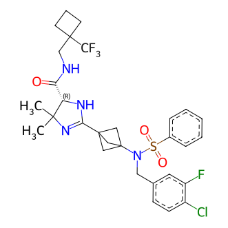 CC1(C)N=C(C23CC(N(Cc4ccc(Cl)c(F)c4)S(=O)(=O)c4ccccc4)(C2)C3)N[C@H]1C(=O)NCC1(C(F)(F)F)CCC1